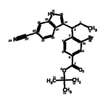 CCC(c1ccc(C(=O)OC(C)(C)C)cc1Br)c1c[nH]c2cc(C#N)ccc12